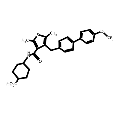 Cc1sc(C)c(C(=O)NC2CCC(C(=O)O)CC2)c1Cc1ccc(-c2ccc(OC(F)(F)F)cc2)cc1